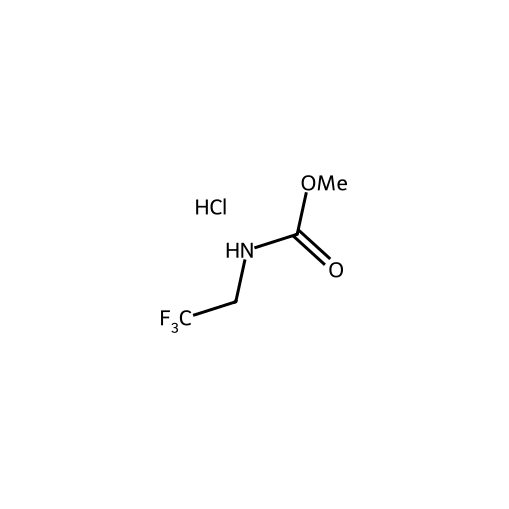 COC(=O)NCC(F)(F)F.Cl